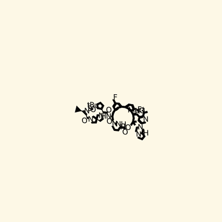 CCn1c(-c2cc(N3CCN4CCC[C@@H]4C3)cnc2[C@H](C)OC)c2c3cc(ccc31)-c1cc(CF)cc(c1)C[C@H](NC(=O)[C@H](C1CCCC1)N1CC[C@]3(CCN(C(=O)[C@H]4[C@@H](C5CC5)N4[S@+]([O-])C(C)(C)C)C3)C1)C(=O)N1CCC[C@H](N1)C(=O)OCC(C)(C)C2